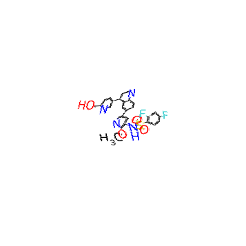 COc1ncc(-c2ccc3nccc(-c4ccc(CO)nc4)c3c2)cc1NS(=O)(=O)c1ccc(F)cc1F